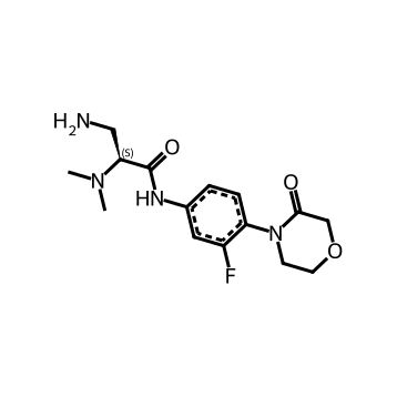 CN(C)[C@@H](CN)C(=O)Nc1ccc(N2CCOCC2=O)c(F)c1